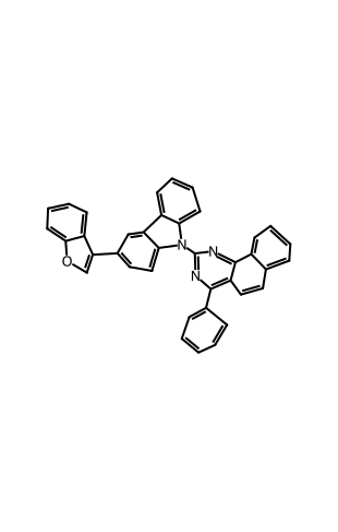 c1ccc(-c2nc(-n3c4ccccc4c4cc(-c5coc6ccccc56)ccc43)nc3c2ccc2ccccc23)cc1